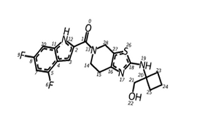 O=C(c1cc2c(F)cc(F)cc2[nH]1)N1CCc2nc(NC3(CO)CCC3)sc2C1